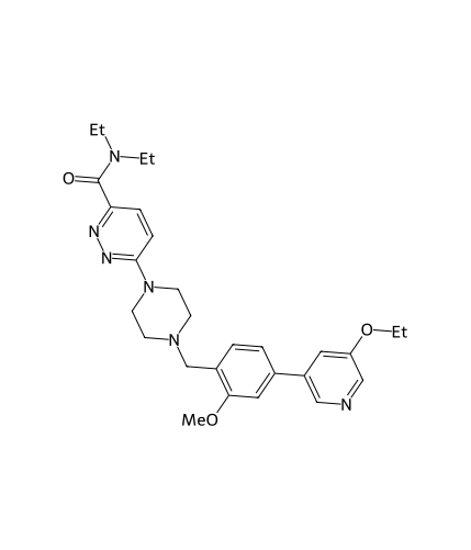 CCOc1cncc(-c2ccc(CN3CCN(c4ccc(C(=O)N(CC)CC)nn4)CC3)c(OC)c2)c1